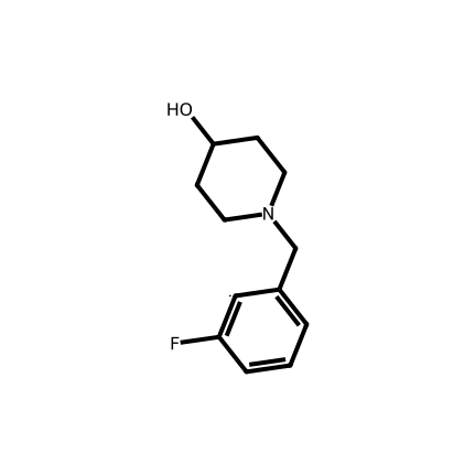 OC1CCN(Cc2[c]c(F)ccc2)CC1